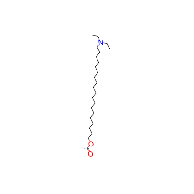 CCN(CC)CCCCCCCCCCCCCCCCCCCO[C]=O